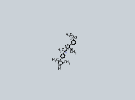 C=Nc1c(-c2cccc(S(=O)(=O)CC)c2)cnn1/C=C(\C)c1ccc(N2[C@H](C)CNC[C@@H]2C)cc1